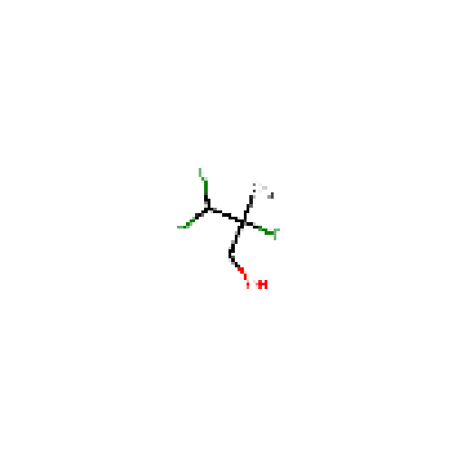 OCC(F)(C(F)F)C(F)(F)F